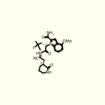 COc1cccc2c1cc(C(N)=O)n2[C@@H](CC(C)(C)F)C(=O)N[C@H](C#N)C[C@@H]1CCCNC1=O